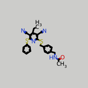 CCc1c(C#N)c(SCc2ccc(CNC(C)=O)cc2)nc(Sc2ccccc2)c1C#N